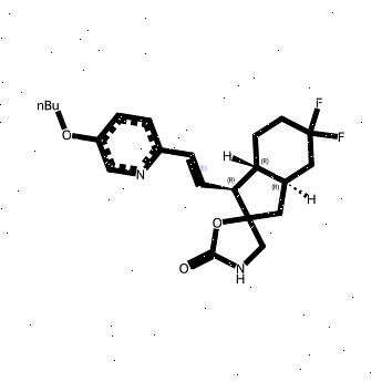 CCCCOc1ccc(/C=C/[C@H]2[C@@H]3CCC(F)(F)C[C@H]3CC23CNC(=O)O3)nc1